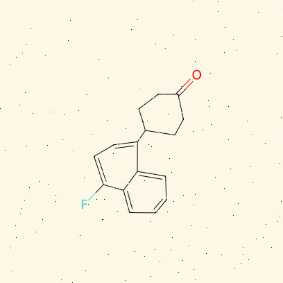 O=C1CCC(c2ccc(F)c3ccccc23)CC1